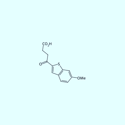 COc1ccc2cc(C(=O)CCC(=O)O)sc2c1